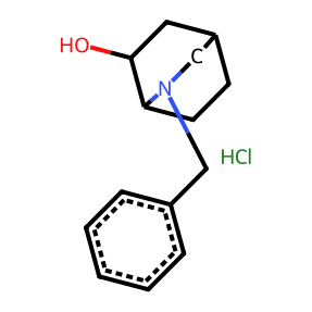 Cl.OC1CC2CCC1N(Cc1ccccc1)C2